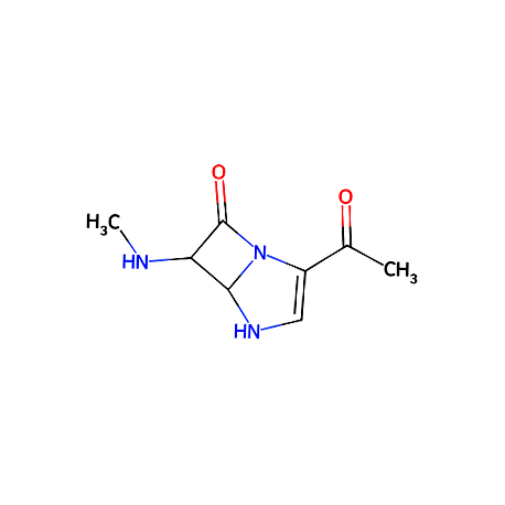 CNC1C(=O)N2C(C(C)=O)=CNC12